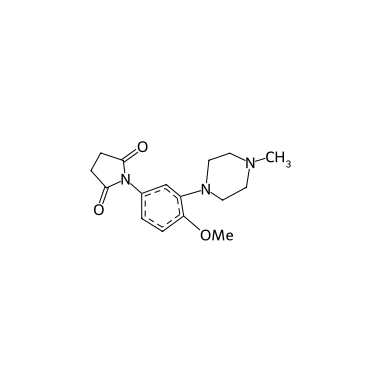 COc1ccc(N2C(=O)CCC2=O)cc1N1CCN(C)CC1